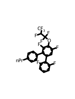 CCCc1ccc(-c2c(-c3c(F)cccc3F)cc(F)c(OC(F)(F)C(F)C(F)(F)F)c2F)cc1